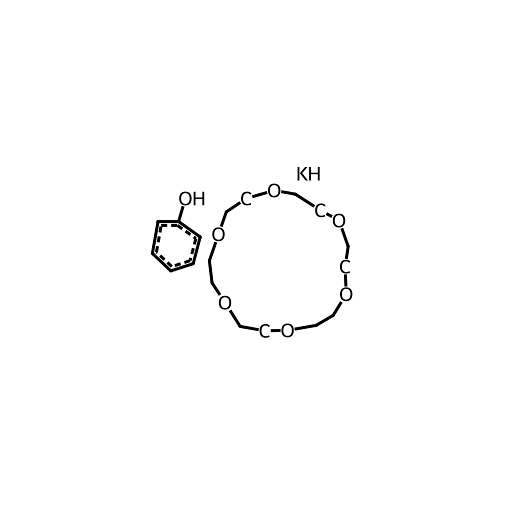 C1COCCOCCOCCOCCOCCO1.Oc1ccccc1.[KH]